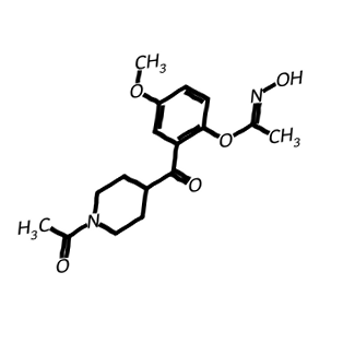 COc1ccc(OC(C)=NO)c(C(=O)C2CCN(C(C)=O)CC2)c1